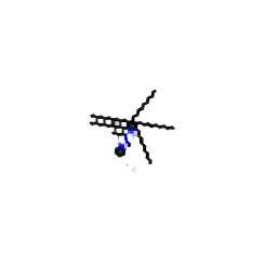 CCCCCC/C=C/CCc1c(CC/C=C/CCCCCC)c(CC/C=C/CCCCCC)c(/N=C(CCCC)/C(CC)=N/c2ccccc2)c(CC/C=C/CCCCCC)c1CC/C=C/CCCCCC.[Ni]